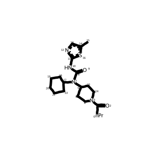 CCCC(=O)N1CCC(N(C(=O)Nc2ncc(C)s2)C2CCCCC2)CC1